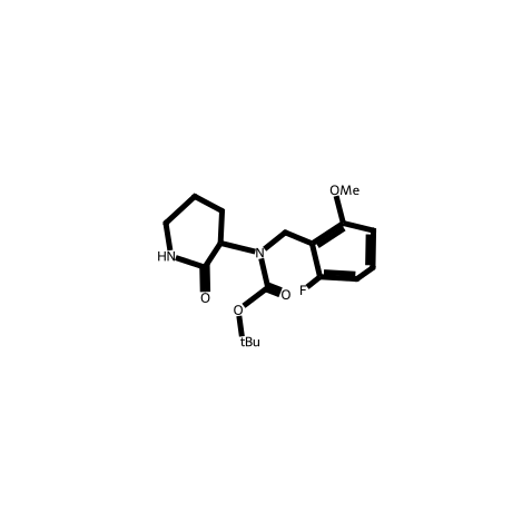 COc1cccc(F)c1CN(C(=O)OC(C)(C)C)C1CCCNC1=O